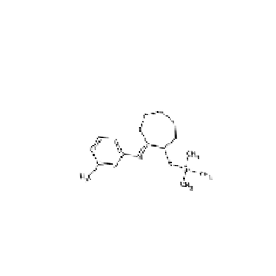 Cc1cccc(N=C2CCCCCC2S[Si](C)(C)C)c1